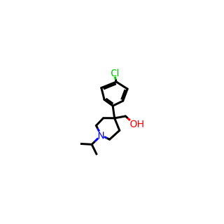 CC(C)N1CCC(CO)(c2ccc(Cl)cc2)CC1